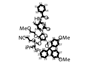 COCCO[C@@H]1[C@H](OP(OCCC#N)N(C(C)C)C(C)C)[C@@H](COC(c2ccccc2)(c2ccc(OC)cc2)c2ccc(OC)cc2)O[C@H]1n1cc(C)c(NC(=O)c2ccccc2)nc1=O